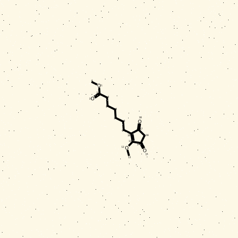 COC(=O)CCCCCCC1=C(OC)C(=O)CC1=O